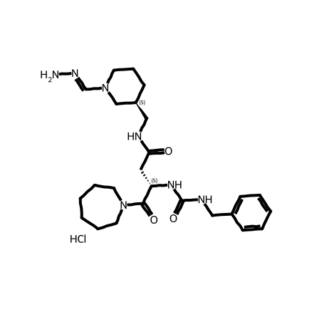 Cl.NN=CN1CCC[C@@H](CNC(=O)C[C@H](NC(=O)NCc2ccccc2)C(=O)N2CCCCCC2)C1